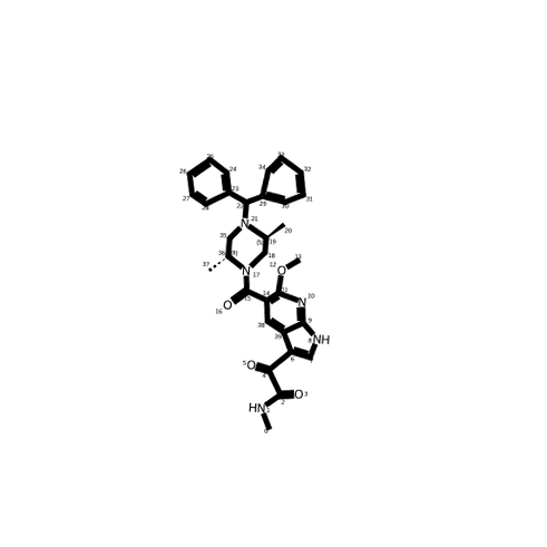 CNC(=O)C(=O)c1c[nH]c2nc(OC)c(C(=O)N3C[C@H](C)N(C(c4ccccc4)c4ccccc4)C[C@H]3C)cc12